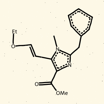 CCOC=Cc1c(C(=O)OC)nc(Cc2ccccc2)n1C